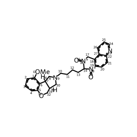 COc1cccc2c1[C@@H]1CN(CCCCC3[N+](=O)Cc4c(ccc5ncccc45)[N+]3=O)C[C@H]1CO2